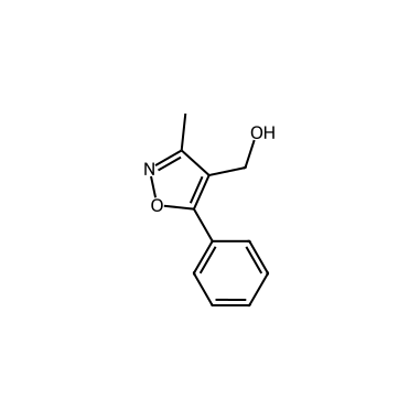 Cc1noc(-c2ccccc2)c1CO